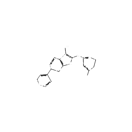 CC1=CC(Nc2[nH]c3c(c2C)C=CC(C2=CCNC=C2)C3)=NCC1